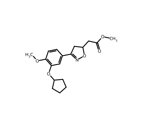 COC(=O)CC1CC(c2ccc(OC)c(OC3CCCC3)c2)=NO1